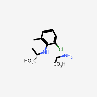 Cc1cccc(Cl)c1N[C@@H](C)C(=O)O.NCC(=O)O